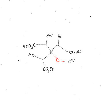 CCCC[O][Zr]([CH](C(C)=O)C(=O)OCC)([CH](C(C)=O)C(=O)OCC)[CH](C(C)=O)C(=O)OCC